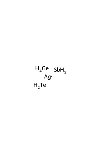 [Ag].[GeH4].[SbH3].[TeH2]